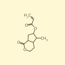 C=CC(=O)OC1CC2C(=O)OCCC2C1C